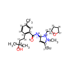 Cn1c(C(C)(C)C)c/c(=N\C(=O)c2cc(C(F)(F)F)ccc2CCC(C)(C)O)n1C[C@H]1CCCO1